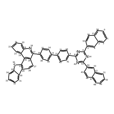 c1ccc2cc(-c3nc(-c4ccc(-c5ccc(-c6nc7ccccc7c7c6ccc6c8ccccc8sc67)cc5)cc4)nc(-c4ccc5ccccc5c4)n3)ccc2c1